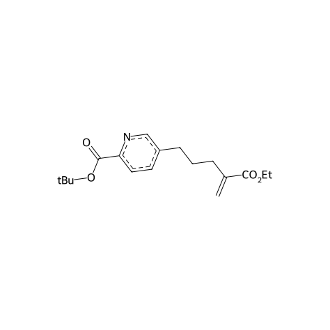 C=C(CCCc1ccc(C(=O)OC(C)(C)C)nc1)C(=O)OCC